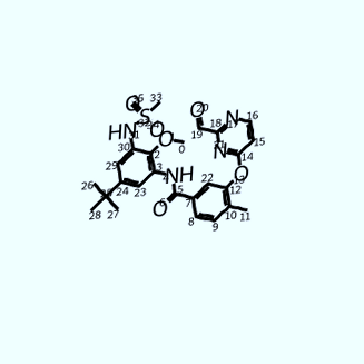 COc1c(NC(=O)c2ccc(C)c(Oc3ccnc(C=O)n3)c2)cc(C(C)(C)C)cc1NS(C)(=O)=O